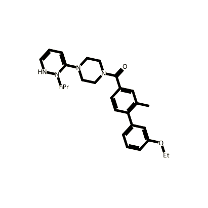 CCCN1NC=CC=C1N1CCN(C(=O)c2ccc(-c3cccc(OCC)c3)c(C)c2)CC1